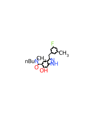 CCCCN(C)C(=O)c1cc2c(Cc3cc(C)cc(F)c3)n[nH]c2cc1O